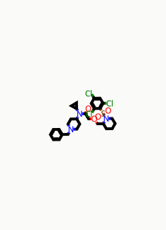 O=C(COCC1CCCCN1S(=O)(=O)c1c(Cl)cc(Cl)cc1Cl)N(C1CC1)C1CCN(Cc2ccccc2)CC1